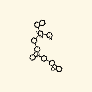 c1cncc(-c2cc(-c3cccc4ccccc34)nc(-c3cccc(-c4ccc5c(c4)c4ccccc4n5-c4ccc(-c5ccc6c(c5)oc5ccccc56)cc4)c3)n2)c1